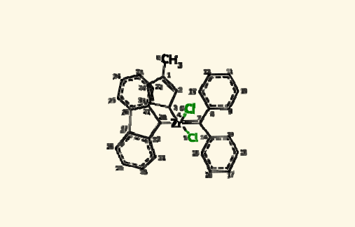 CC1=C[CH]([Zr]([Cl])([Cl])(=[C](c2ccccc2)c2ccccc2)[CH]2c3ccccc3-c3ccccc32)C=C1